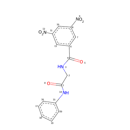 O=C(CNC(=O)c1cc([N+](=O)[O-])cc([N+](=O)[O-])c1)Nc1ccccc1